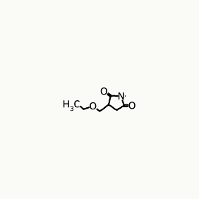 CCOCC1CC(=O)[N]C1=O